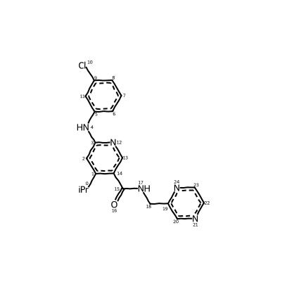 CC(C)c1cc(Nc2cccc(Cl)c2)ncc1C(=O)NCc1cnccn1